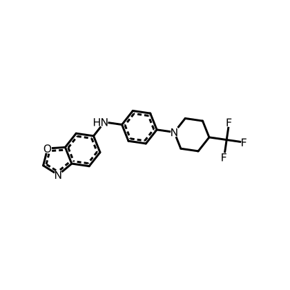 FC(F)(F)C1CCN(c2ccc(Nc3ccc4ncoc4c3)cc2)CC1